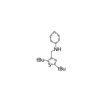 CC(C)(C)c1cc(CNc2ccccc2)c(C(C)(C)C)s1